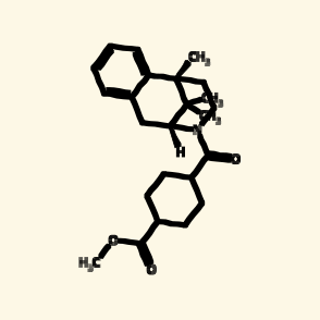 COC(=O)C1CCC(C(=O)N2CC[C@@]3(C)c4ccccc4C[C@@H]2C3(C)C)CC1